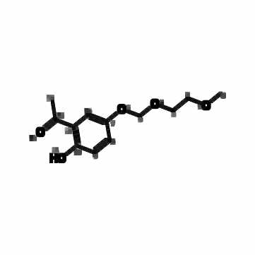 COCCOCOc1ccc(O)c(C(C)=O)c1